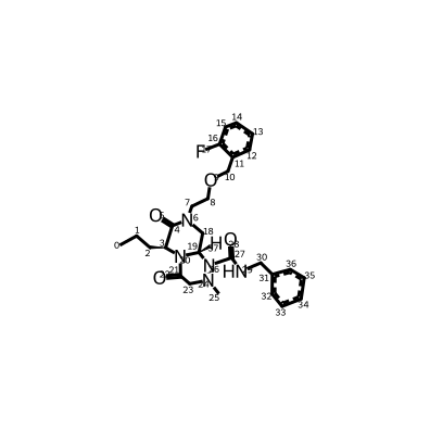 CCC[C@H]1C(=O)N(CCOCc2ccccc2F)C[C@H]2N1C(=O)CN(C)N2C(=O)NCc1ccccc1